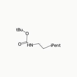 CCCC(C)CCNC(=O)OC(C)(C)C